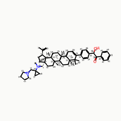 C=C(C)[C@@H]1CC[C@]2(CN(C)C3(CN4CCCC4)CC3)CC[C@]3(C)[C@H](CC[C@@H]4[C@@]5(C)CC=C(c6ccc(C(O)C(=O)c7ccccc7)cc6)C(C)(C)[C@@H]5CC[C@]43C)[C@@H]12